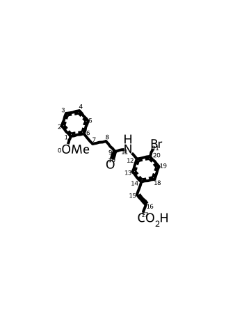 COc1ccccc1CCC(=O)Nc1cc(/C=C/C(=O)O)ccc1Br